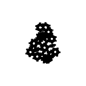 N#Cc1c(-n2c3ccccc3c3ccccc32)c(-n2c3ccccc3c3ccccc32)c(C#N)c(-n2c3cc(-c4cccc5ccc6ccccc6c45)ccc3c3ccc4c5ccccc5sc4c32)c1-n1c2ccccc2c2ccccc21